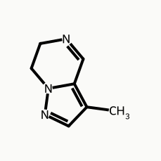 Cc1cnn2c1C=NCC2